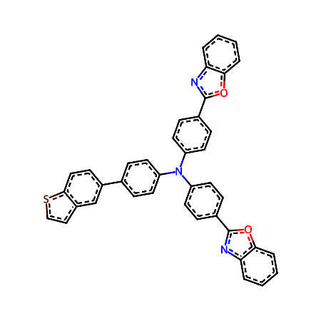 c1ccc2oc(-c3ccc(N(c4ccc(-c5ccc6sccc6c5)cc4)c4ccc(-c5nc6ccccc6o5)cc4)cc3)nc2c1